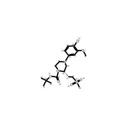 COc1cc(N2CCN(C(=O)OC(C)(C)C)[C@@H](CCS(C)(=O)=O)C2)ccc1Cl